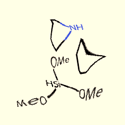 C1CC1.C1CN1.CO[SiH](OC)OC